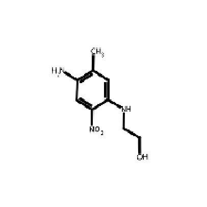 Cc1cc(NCCO)c([N+](=O)[O-])cc1N